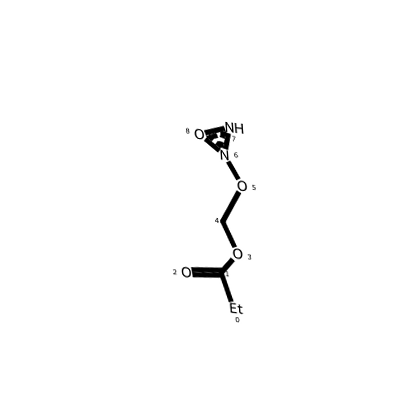 CCC(=O)OCOn1[nH]o1